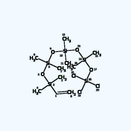 C=C[Si](C)(C)O[Si](C)(C)O[Si](C)(C)O[Si](C)(C)O[Si](Cl)(Cl)Cl